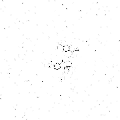 C[C@@H]1[C@@H]2C[C@H](C(=O)N[C@@H](c3ccc(C(F)(F)F)cc3F)C3CC3)N(C(=O)c3cc(S(C)(=O)=O)ccc3NCCO)[C@H]12